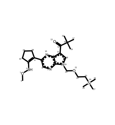 COBC1=C(c2cnc3c(n2)c(C(=O)C(C)(C)C)cn3COCC[Si](C)(C)C)CCC1